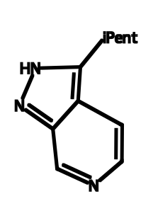 CCCC(C)c1[nH]nc2cnccc12